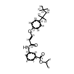 CC(C)OC(=O)c1cccc(NC(=O)C=COc2ccc(C(C)(C)CC(C)(C)C)cc2)c1